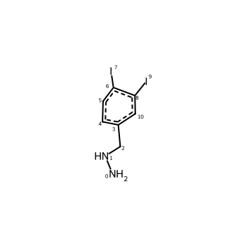 NNCc1ccc(I)c(I)c1